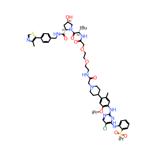 Cc1cc(Nc2ncc(Cl)c(Nc3ccccc3S(=O)(=O)C(C)C)n2)c(OC(C)C)cc1C1CCN(CC(=O)NCCOCCOCC(=O)N[C@H](C(=O)N2C[C@H](O)C[C@H]2C(=O)NCc2ccc(-c3scnc3C)cc2)C(C)(C)C)CC1